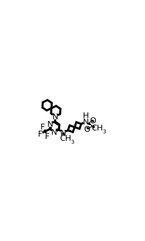 CN(c1cc(N2CCCC3(CCCCC3)C2)nc(C(F)(F)F)n1)C1CC2(CC(NS(C)(=O)=O)C2)C1